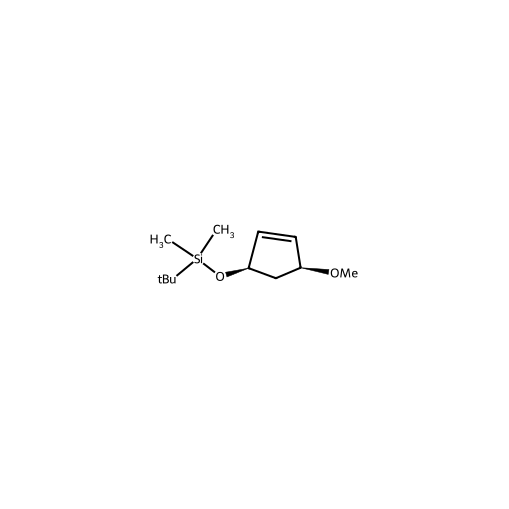 CO[C@@H]1C=C[C@H](O[Si](C)(C)C(C)(C)C)C1